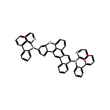 c1ccc(-c2ccccc2N(c2ccc3c(c2)Oc2cccc4c2c-3cc2c3ccccc3c(N(c3ccccn3)c3ccccc3-c3ccccc3)cc42)c2ccccn2)cc1